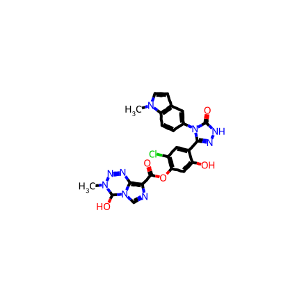 CN1N=Nc2c(C(=O)Oc3cc(O)c(-c4n[nH]c(=O)n4-c4ccc5c(ccn5C)c4)cc3Cl)ncn2C1O